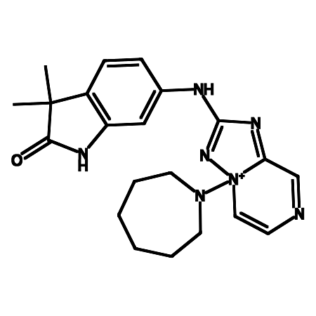 CC1(C)C(=O)Nc2cc(NC3=N[N+]4(N5CCCCCC5)C=CN=CC4=N3)ccc21